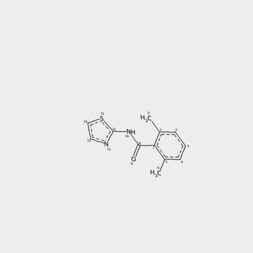 Cc1cccc(C)c1C(=O)Nc1nccs1